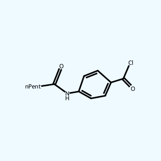 CCCCCC(=O)Nc1ccc(C(=O)Cl)cc1